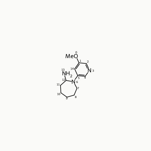 COc1cncc(N2CCCCCC2N)c1